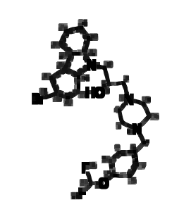 OC(CN1CCN(Cc2ccc(OC(F)F)cc2)CC1)Cn1c2ccccc2c2cc(Br)ccc21